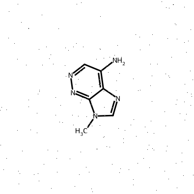 Cn1cnc2c(N)cnnc21